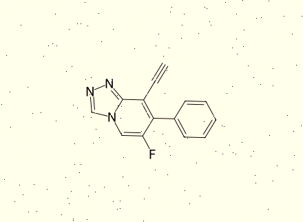 C#Cc1c(-c2ccccc2)c(F)cn2cnnc12